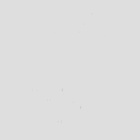 CCOC(C)OC(CCCOC(=O)C1CC2CCC1C2)(C(F)(F)F)C(F)(F)F